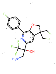 NCC(O)(c1cc2c(c(-c3ccc(F)cc3)n1)OCC2(CF)CF)C(F)(F)F